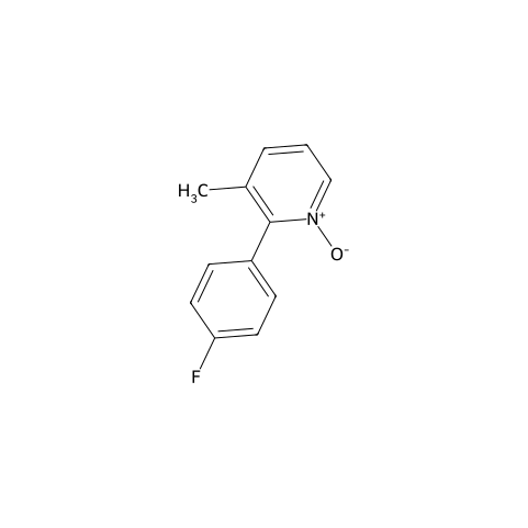 Cc1ccc[n+]([O-])c1-c1ccc(F)cc1